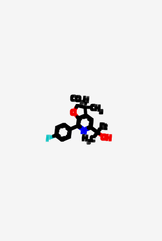 CC[C@](C)(O)c1cc2c(c(-c3ccc(F)cc3)n1)OC[C@]2(C)C(=O)O